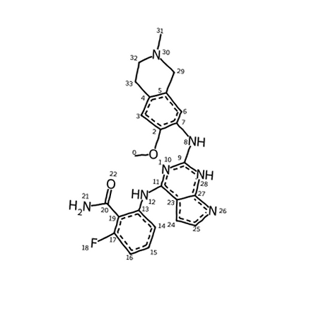 COc1cc2c(cc1Nc1nc(Nc3cccc(F)c3C(N)=O)c3ccnc-3[nH]1)CN(C)CC2